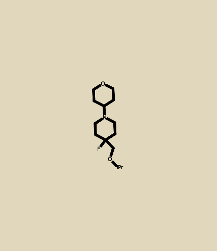 CC(C)OCC1(F)CCN(C2CCOCC2)CC1